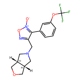 [O-][n+]1onc(CN2C[C@H]3COC[C@H]3C2)c1-c1cccc(OC(F)(F)F)c1